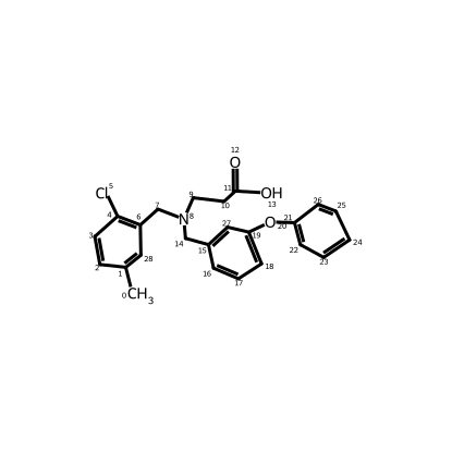 Cc1ccc(Cl)c(CN(CCC(=O)O)Cc2cccc(Oc3ccccc3)c2)c1